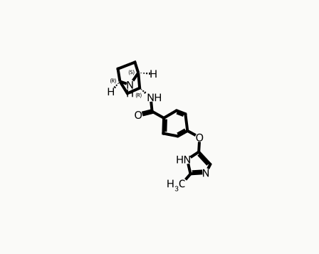 Cc1ncc(Oc2ccc(C(=O)N[C@@H]3C[C@H]4CC[C@@H]3N4)cc2)[nH]1